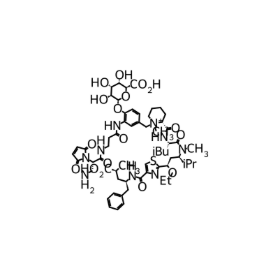 CCO[C@H](C[C@H](C(C)C)N(C)C(=O)[C@@H](NC(=O)[C@H]1CCCC[N+]1(C)Cc1ccc(O[C@@H]2O[C@H](C(=O)O)[C@@H](O)[C@@H](O)[C@@H]2O)c(NC(=O)CCNC(=O)[C@H](CN)N2C(=O)C=CC2=O)c1)[C@@H](C)CC)c1nc(C(=O)N[C@@H](Cc2ccccc2)C[C@H](C)C(=O)O)cs1